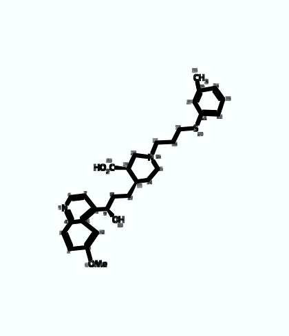 COc1ccc2nccc([C@H](O)CC[C@@H]3CCN(CCCSc4cccc(C)c4)C[C@@H]3C(=O)O)c2c1